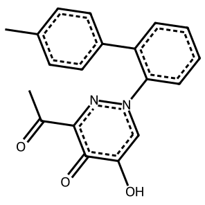 CC(=O)c1nn(-c2ccccc2-c2ccc(C)cc2)cc(O)c1=O